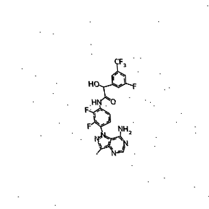 Cc1nn(-c2ccc(NC(=O)C(O)c3cc(F)cc(C(F)(F)F)c3)c(F)c2F)c2c(N)ncnc12